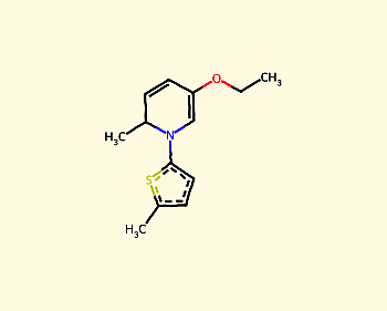 CCOC1=CN(c2ccc(C)s2)C(C)C=C1